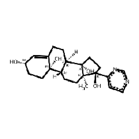 C[C@]12CC[C@H]3[C@@H](CCC4=C[C@@H](O)CC[C@@]43C)[C@@]1(O)CC[C@]2(O)c1ccncn1